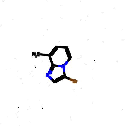 Cc1cccn2c(Br)cnc12